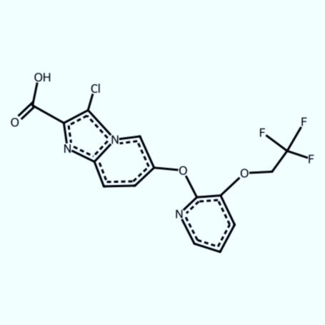 O=C(O)c1nc2ccc(Oc3ncccc3OCC(F)(F)F)cn2c1Cl